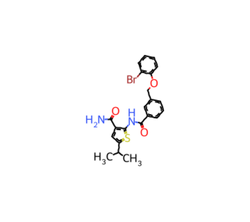 CC(C)c1cc(C(N)=O)c(NC(=O)c2cccc(COc3ccccc3Br)c2)s1